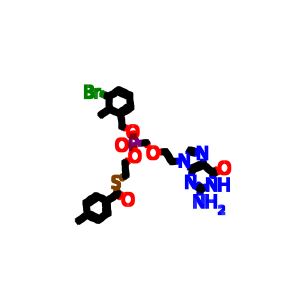 Cc1ccc(C(=O)SCCOP(=O)(COCCn2cnc3c(=O)[nH]c(N)nc32)OCC2=CC=CC(Br)C2C)cc1